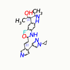 CC(=N)/C(=C(/C)O)c1ccc(NC(=O)/C=C/c2cnccc2-c2cnn(C3CC3)c2)c(F)c1